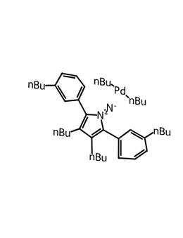 CCCCC1=C(c2cccc(CCCC)c2)[N+](=[N-])C(c2cccc(CCCC)c2)=C1CCCC.CCC[CH2][Pd][CH2]CCC